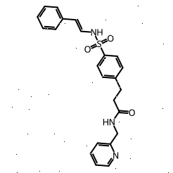 O=C(CCc1ccc(S(=O)(=O)NC=Cc2ccccc2)cc1)NCc1ccccn1